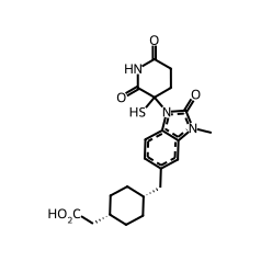 Cn1c(=O)n(C2(S)CCC(=O)NC2=O)c2ccc(C[C@H]3CC[C@@H](CC(=O)O)CC3)cc21